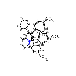 O=[N+]([O-])c1ccc(C2=C(C3CCCCC3)c3cccc[n+]3[B-]2(c2ccc([N+](=O)[O-])cc2)c2ccc([N+](=O)[O-])cc2)cc1